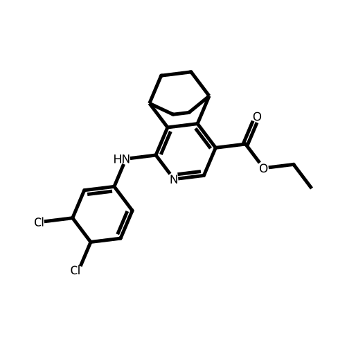 CCOC(=O)c1cnc(NC2=CC(Cl)C(Cl)C=C2)c2c1C1CCC2CC1